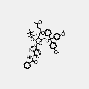 COc1ccc(C(OC[C@H]2O[C@@H](n3cnc4c(NC(=O)c5ccccc5)ncnc43)[C@@H](O[Si](C)(C)C(C)(C)C)C2OC(=O)CCC(C)=O)(c2ccccc2)c2ccc(OC)cc2)cc1